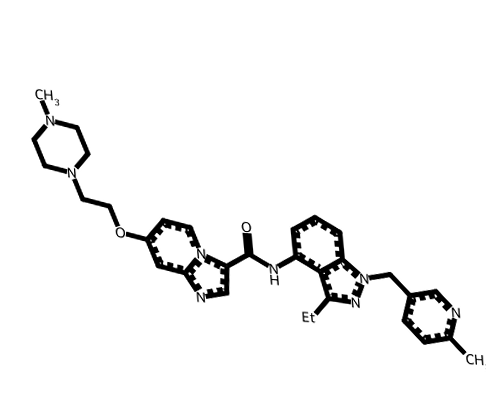 CCc1nn(Cc2ccc(C)nc2)c2cccc(NC(=O)c3cnc4cc(OCCN5CCN(C)CC5)ccn34)c12